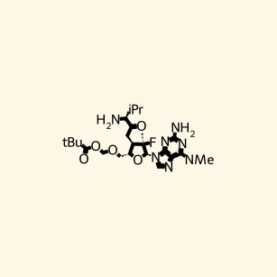 CNc1nc(N)nc2c1ncn2[C@@H]1O[C@H](COCOC(=O)C(C)(C)C)[C@@H](CC(=O)[C@@H](N)C(C)C)[C@@]1(C)F